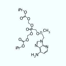 CC(C)OC(=O)OCOP(=O)(CO[C@H](C)Cn1cnc2c(N)ccnc21)OCOC(=O)OC(C)C